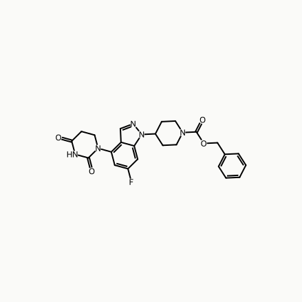 O=C1CCN(c2cc(F)cc3c2cnn3C2CCN(C(=O)OCc3ccccc3)CC2)C(=O)N1